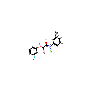 O=C(Oc1cccc(F)c1)C(=O)N(Cl)c1cccc(C(F)(F)F)c1